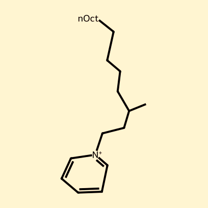 CCCCCCCCCCCCC(C)CC[n+]1ccccc1